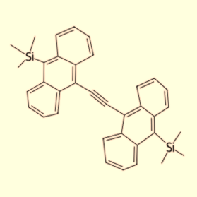 C[Si](C)(C)c1c2ccccc2c(C#Cc2c3ccccc3c([Si](C)(C)C)c3ccccc23)c2ccccc12